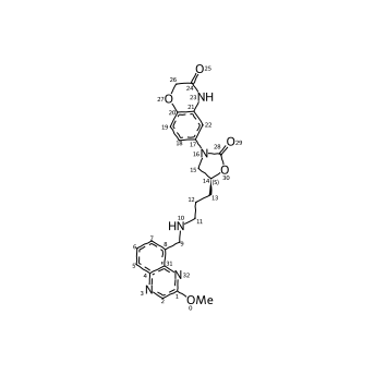 COc1cnc2cccc(CNCCC[C@H]3CN(c4ccc5c(c4)NC(=O)CO5)C(=O)O3)c2n1